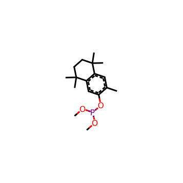 COP(OC)Oc1cc2c(cc1C)C(C)(C)CCC2(C)C